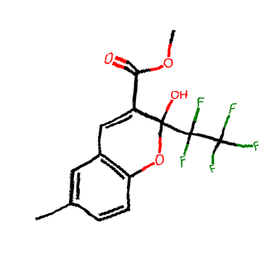 COC(=O)C1=Cc2cc(C)ccc2OC1(O)C(F)(F)C(F)(F)F